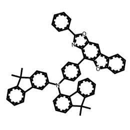 CC1(C)c2ccccc2-c2cc(N(c3ccc(-c4c5nc(-c6ccccc6)oc5cc5c4oc4ccccc45)cc3)c3cccc4c3-c3ccccc3C4(C)C)ccc21